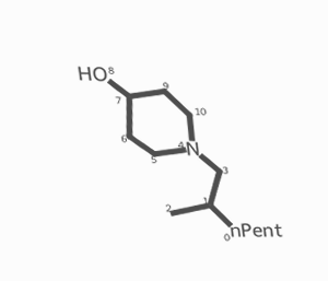 CCCCCC(C)CN1CCC(O)CC1